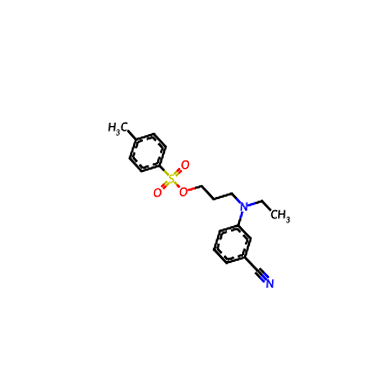 CCN(CCCOS(=O)(=O)c1ccc(C)cc1)c1cccc(C#N)c1